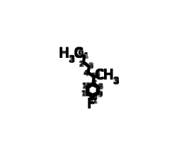 CCCCC[C@@H](C)c1ccc(F)cc1